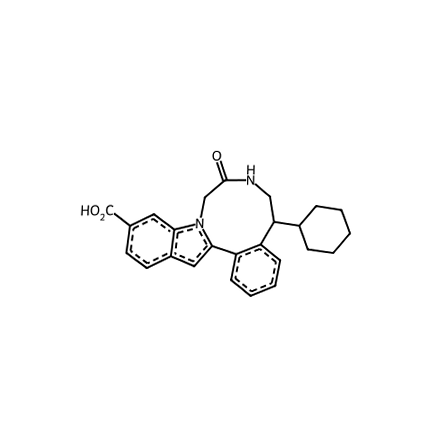 O=C1Cn2c(cc3ccc(C(=O)O)cc32)-c2ccccc2C(C2CCCCC2)CN1